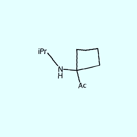 CC(=O)C1(NC(C)C)CCC1